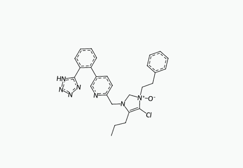 CCCC1=C(Cl)[N+]([O-])(CCc2ccccc2)CN1Cc1ccc(-c2ccccc2-c2nnn[nH]2)cn1